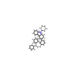 c1ccc(C2CCc3ccccc3-c3c(-c4cccc5c4c4ccccc4n5C4CCCCC4)cccc32)cc1